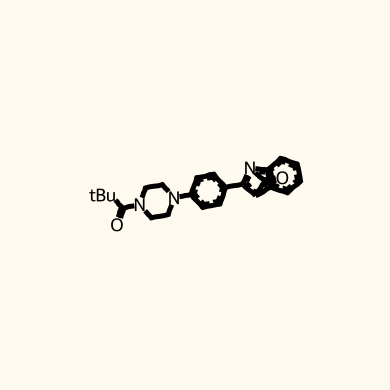 CC(C)(C)C(=O)N1CCN(c2ccc(-c3c4c5ccccc5n3C4=O)cc2)CC1